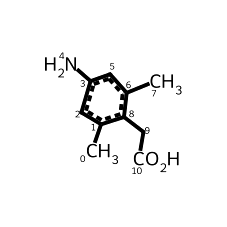 Cc1cc(N)cc(C)c1CC(=O)O